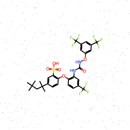 CC(C)(C)CC(C)(C)c1ccc(Oc2ccc(C(F)(F)F)cc2NC(=O)NOc2cc(C(F)(F)F)cc(C(F)(F)F)c2)c(S(=O)(=O)O)c1